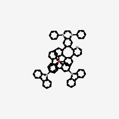 c1ccc(-n2ccn(-c3ccccc3)c3cc4c(cc32)c2cccc(-n3c5ccccc5c5cc(-n6c7ccccc7c7ccccc76)ccc53)c2c2c(-n3c5ccccc5c5cc(-n6c7ccccc7c7ccccc76)ccc53)cccc2c2cccnc42)cc1